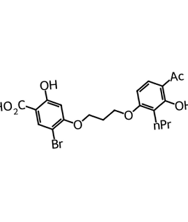 CCCc1c(OCCCOc2cc(O)c(C(=O)O)cc2Br)ccc(C(C)=O)c1O